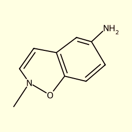 CN1C=Cc2cc(N)ccc2O1